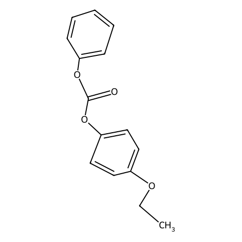 CCOc1ccc(OC(=O)Oc2ccccc2)cc1